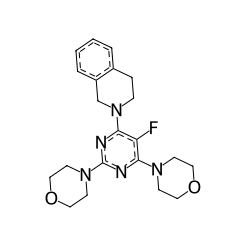 Fc1c(N2CCOCC2)nc(N2CCOCC2)nc1N1CCc2ccccc2C1